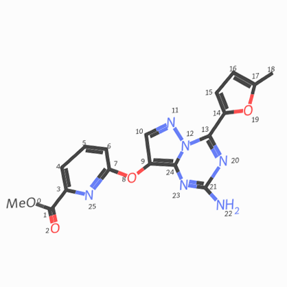 COC(=O)c1cccc(Oc2cnn3c(-c4ccc(C)o4)nc(N)nc23)n1